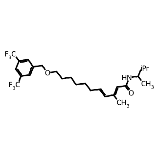 CC(C=CCCCCCCOCc1cc(C(F)(F)F)cc(C(F)(F)F)c1)=CC(=O)NC(C)C(C)C